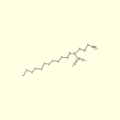 CCCCCCCCCCCCC(CCCN)[N+](=O)[O-]